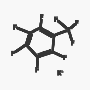 Fc1c(F)c(F)c([B-](F)(F)F)c(F)c1F.[K+]